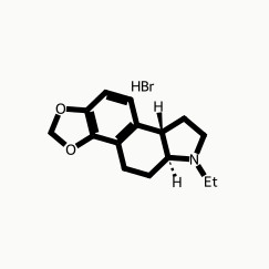 Br.CCN1CC[C@H]2c3ccc4c(c3CC[C@@H]21)OCO4